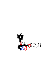 O=C(COC(=O)O)Cc1ncccc1OCc1ccccc1